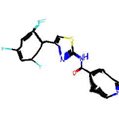 O=C(Nc1nc(C2C(F)=CC(F)=CC2F)cs1)c1ccncc1